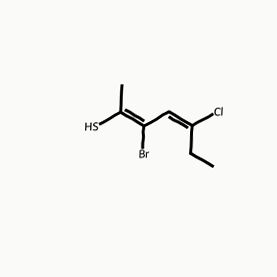 CC/C(Cl)=C\C(Br)=C(/C)S